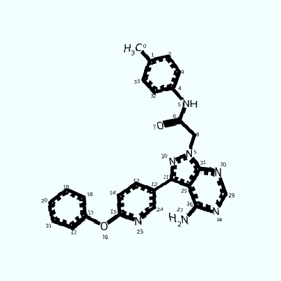 Cc1ccc(NC(=O)Cn2nc(-c3ccc(Oc4ccccc4)nc3)c3c(N)ncnc32)cc1